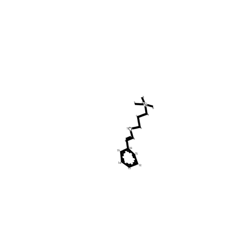 C[Si](C)(C)CCCOC=Cc1ccccc1